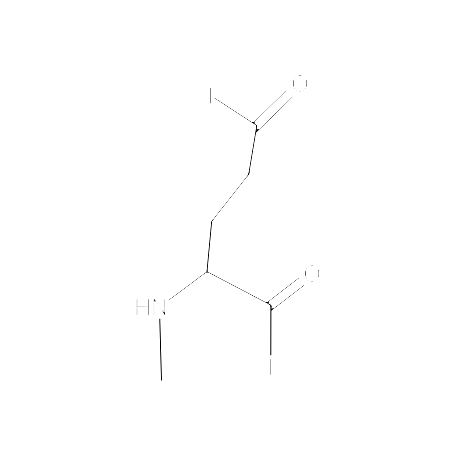 CNC(CCC(=O)I)C(=O)I